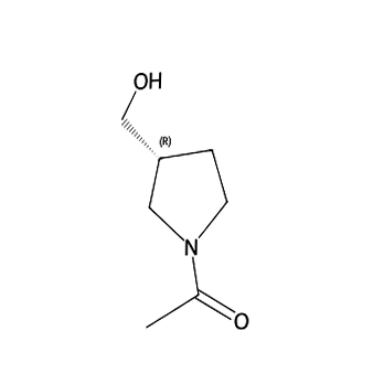 CC(=O)N1CC[C@@H](CO)C1